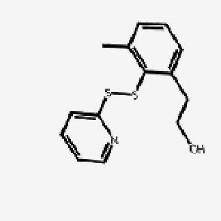 Cc1cccc(CCO)c1SSc1ccccn1